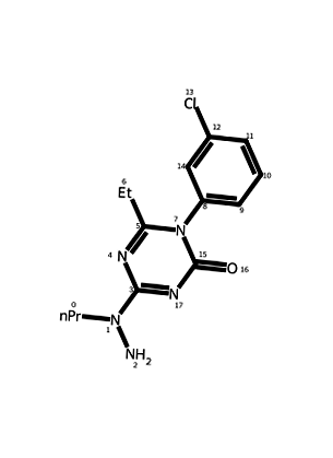 CCCN(N)c1nc(CC)n(-c2cccc(Cl)c2)c(=O)n1